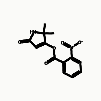 CC1(C)NC(=O)C=C1OC(=O)c1ccccc1[N+](=O)[O-]